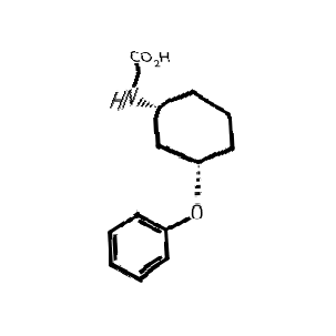 O=C(O)N[C@@H]1CCC[C@H](Oc2ccccc2)C1